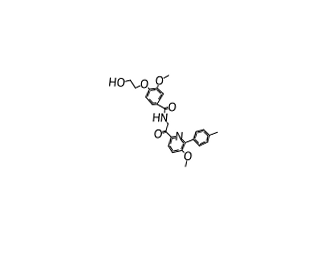 COc1cc(C(=O)NCC(=O)c2ccc(OC)c(-c3ccc(C)cc3)n2)ccc1OCCO